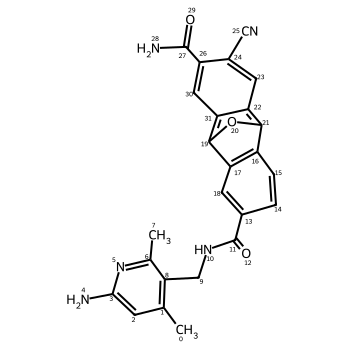 Cc1cc(N)nc(C)c1CNC(=O)c1ccc2c(c1)c1oc2c2cc(C#N)c(C(N)=O)cc21